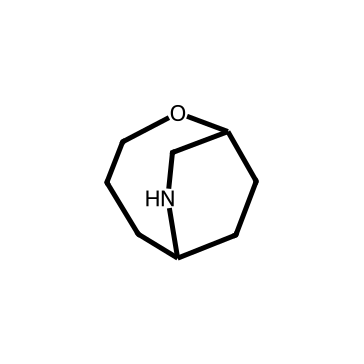 C1COC2CCC(C1)NC2